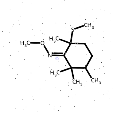 CO/N=C1\C(C)(SC)CCC(C)C1(C)C